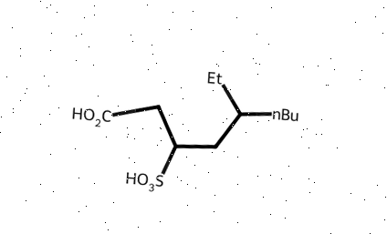 CCCCC(CC)CC(CC(=O)O)S(=O)(=O)O